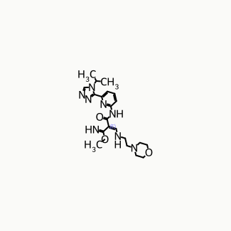 COC(=N)/C(=C\NCCN1CCOCC1)C(=O)Nc1cccc(-c2nncn2C(C)C)n1